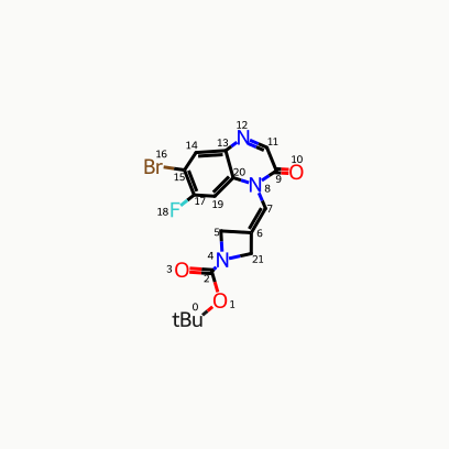 CC(C)(C)OC(=O)N1CC(=Cn2c(=O)cnc3cc(Br)c(F)cc32)C1